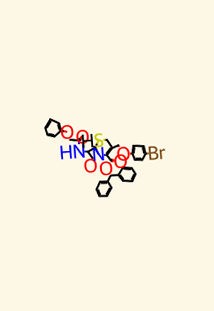 O=C(COc1ccccc1)NC1C(=O)N2C(C(=O)OC(c3ccccc3)c3ccccc3)=C(COc3ccc(Br)cc3)CS[C@@H]12